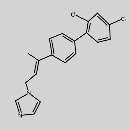 CC(=CCn1ccnc1)c1ccc(-c2ccc(Cl)cc2Cl)cc1